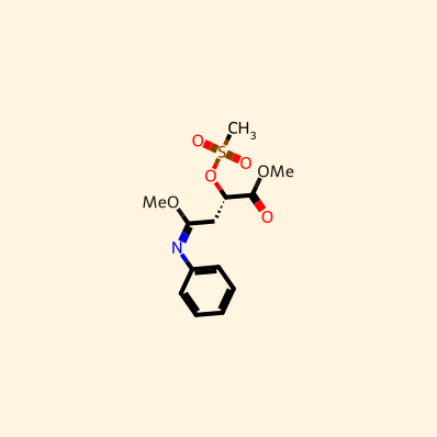 COC(=O)[C@H](CC(=Nc1ccccc1)OC)OS(C)(=O)=O